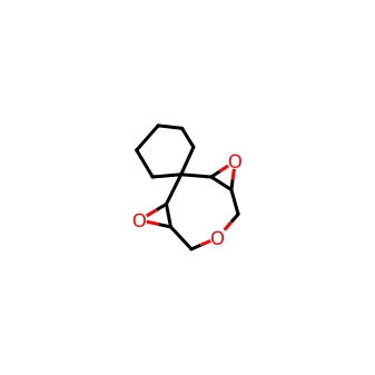 C1CCC2(CC1)C1OC1COCC1OC12